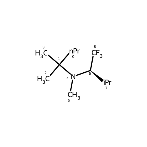 CCCC(C)(C)N(C)[C@H](C(C)C)C(F)(F)F